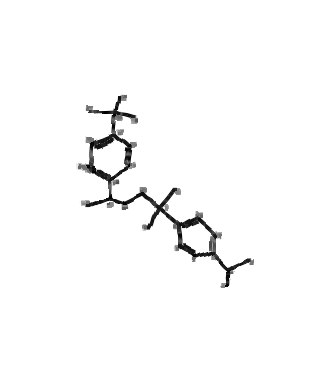 CC(C)c1ccc(C(C)(C)CCC(C)c2ccc(C(C)(C)C)cn2)cc1